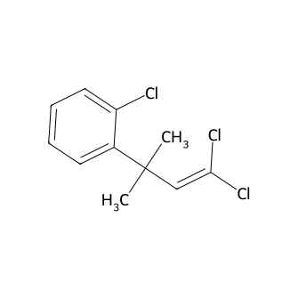 CC(C)(C=C(Cl)Cl)c1ccccc1Cl